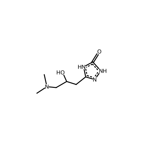 CN(C)CC(O)Cc1n[nH]c(=O)[nH]1